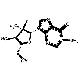 C[C@@]1(F)[C@H](O)[C@@H](CO)O[C@H]1n1cnc2c(=O)n(N)cnc21